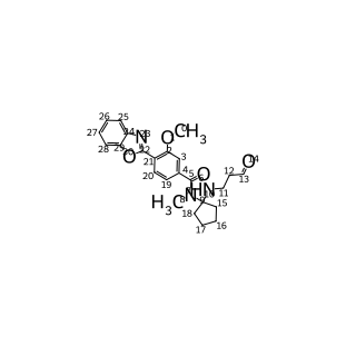 COc1cc(C(=O)N(C)C2(NCCC=O)CCCC2)ccc1-c1nc2ccccc2o1